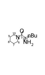 CCCC[C@H](N)C(=O)N1CCCCC1